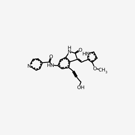 COc1cc[nH]c1C=C1C(=O)Nc2cc(NC(=O)c3ccncc3)cc(C#CCO)c21